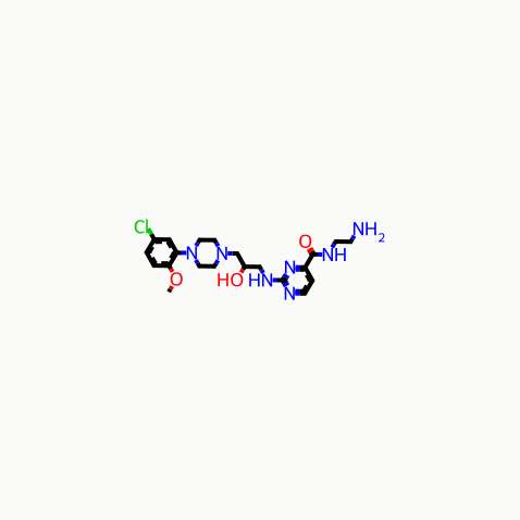 COc1ccc(Cl)cc1N1CCN(CC(O)CNc2nccc(C(=O)NCCN)n2)CC1